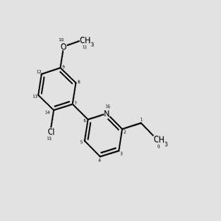 CCc1cccc(-c2cc(OC)ccc2Cl)n1